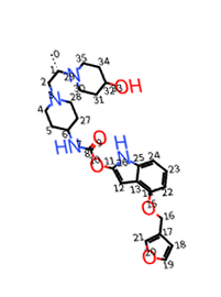 C[C@@H](CN1CCC(NC(=O)Oc2cc3c(OCc4ccoc4)cccc3[nH]2)CC1)N1CCC(O)CC1